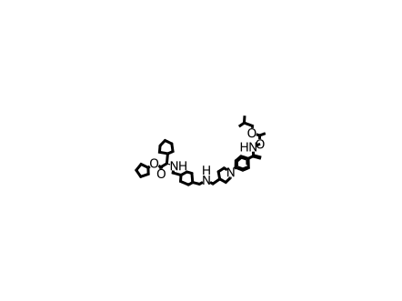 C=C(NOC(C)OCC(C)C)c1ccc(N2CCC(CNCC3CCC(CN[C@H](C(=O)OC4CCCC4)C4CCCCC4)CC3)CC2)cc1